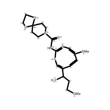 COCCC(C)c1ccc(OC)cnc(NC(=O)N2CCC3(CC2)OCCO3)sc1